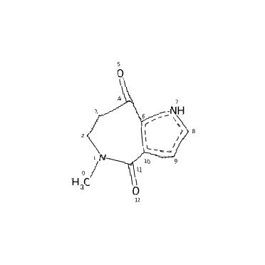 CN1CCC(=O)c2[nH]ccc2C1=O